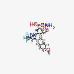 COc1ccc2cc(-c3cc(C(F)(F)F)nn3-c3ccc(S(N)(=O)=O)c(CO)c3)ccc2c1